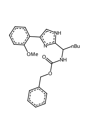 CCCCC(NC(=O)OCc1ccccc1)c1nc(-c2ccccc2OC)c[nH]1